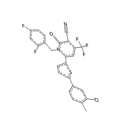 Cc1ccc(-c2ccc(-c3cc(C(F)(F)F)c(C#N)c(=O)n3Cc3ccc(F)cc3F)s2)cc1Cl